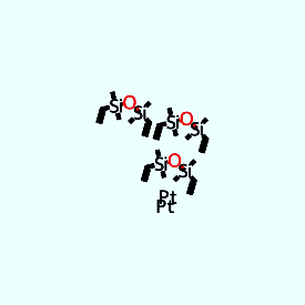 C=C[Si](C)(C)O[Si](C)(C)C=C.C=C[Si](C)(C)O[Si](C)(C)C=C.C=C[Si](C)(C)O[Si](C)(C)C=C.[Pt].[Pt]